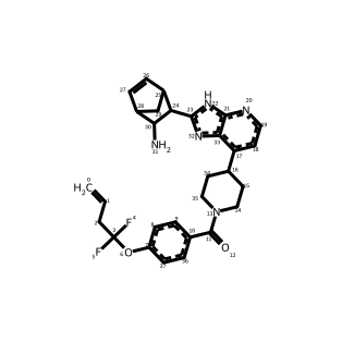 C=CCC(F)(F)Oc1ccc(C(=O)N2CCC(c3ccnc4[nH]c(C5C6C=CC(C6)C5N)nc34)CC2)cc1